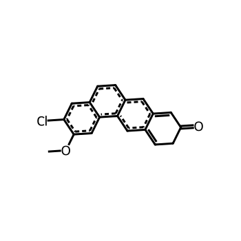 COc1cc2c(ccc3cc4c(cc32)=CCC(=O)C=4)cc1Cl